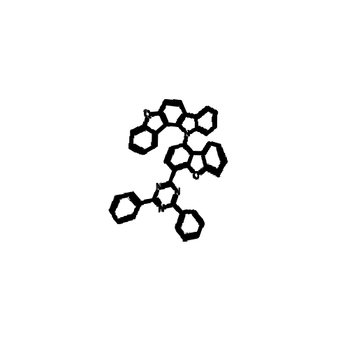 c1ccc(-c2nc(-c3ccccc3)nc(-c3ccc(-n4c5ccccc5c5ccc6oc7ccccc7c6c54)c4c3oc3ccccc34)n2)cc1